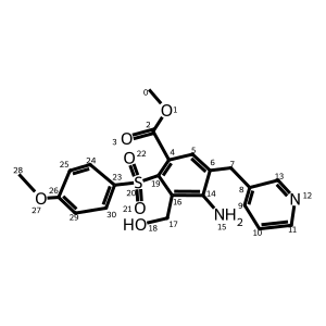 COC(=O)c1cc(Cc2cccnc2)c(N)c(CO)c1S(=O)(=O)c1ccc(OC)cc1